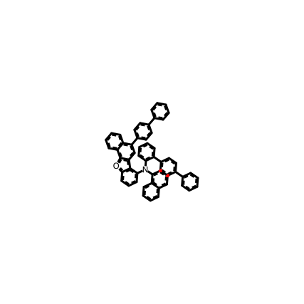 c1ccc(-c2ccc(-c3ccccc3N(c3cccc4ccccc34)c3cccc4oc5c6ccccc6c(-c6ccc(-c7ccccc7)cc6)cc5c34)cc2)cc1